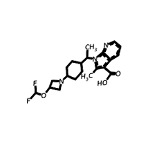 Cc1c(C(=O)O)c2cccnc2n1C(C)C1CCC(N2CC(OC(F)F)C2)CC1